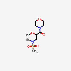 CCN(CC(OC(C)C)C(=O)N1CCOCC1)S(C)(=O)=O